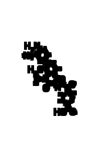 Cc1c(-c2ccc(N)c(C#N)c2)ccc2c3oc(C(=O)N4CCN(C(=O)O)CC4)nc3c(=O)n(C3CC3)c12